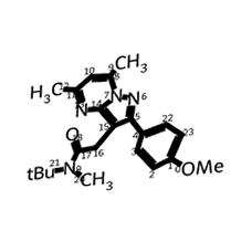 COc1ccc(-c2nn3c(C)cc(C)nc3c2CC(=O)N(C)C(C)(C)C)cc1